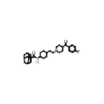 O=C(c1ccc(F)cc1)C1CCN(CCC2CCC(NC(=O)C34CC5CC(CC(C5)C3)C4)CC2)CC1